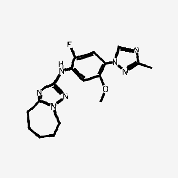 COc1cc(Nc2nc3n(n2)CCCCC3)c(F)cc1-n1cnc(C)n1